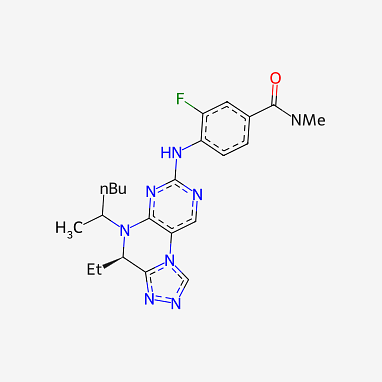 CCCCC(C)N1c2nc(Nc3ccc(C(=O)NC)cc3F)ncc2-n2cnnc2[C@H]1CC